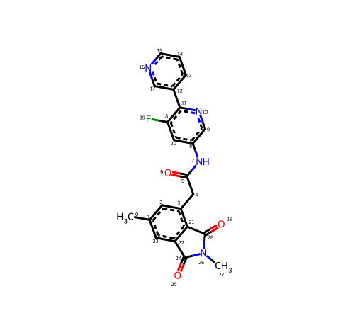 Cc1cc(CC(=O)Nc2cnc(-c3cccnc3)c(F)c2)c2c(c1)C(=O)N(C)C2=O